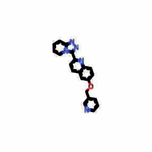 c1cncc(COc2ccc3nc(-c4nnc5ccccn45)ccc3c2)c1